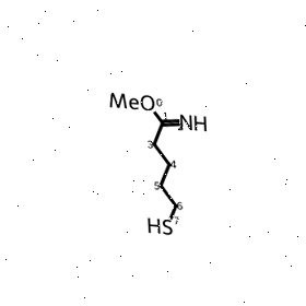 COC(=N)CCCCS